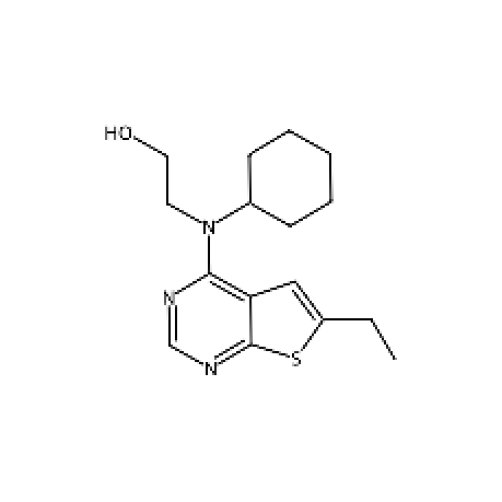 CCc1cc2c(N(CCO)C3CCCCC3)ncnc2s1